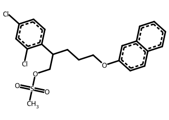 CS(=O)(=O)OCC(CCCOc1ccc2ccccc2c1)c1ccc(Cl)cc1Cl